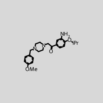 COc1ccc(CN2CCN(CC(=O)c3ccc(OC(C)C)c(N)c3)CC2)cc1